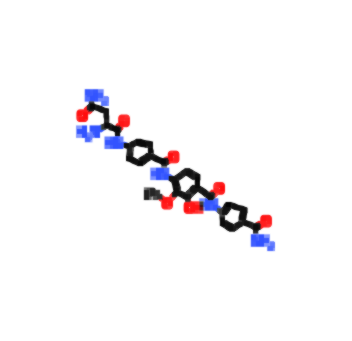 CC(C)Oc1c(NC(=O)c2ccc(NC(=O)[C@@H](N)CC(N)=O)cc2)ccc(C(=O)Nc2ccc(C(N)=O)cc2)c1O